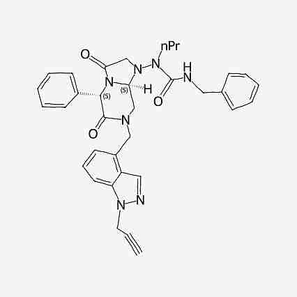 C#CCn1ncc2c(CN3C[C@H]4N(C(=O)CN4N(CCC)C(=O)NCc4ccccc4)[C@@H](c4ccccc4)C3=O)cccc21